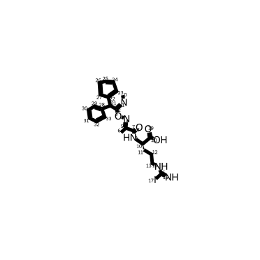 C/N=C(/O/N=C(\C)C(=O)N[C@@H](CCCNC(=N)I)C(=O)O)C(c1ccccc1)c1ccccc1